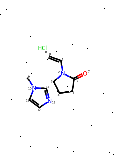 C=CN1CCCC1=O.Cl.Cn1ccnc1